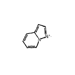 C1=CC2=CC=[N+]N2C=C1